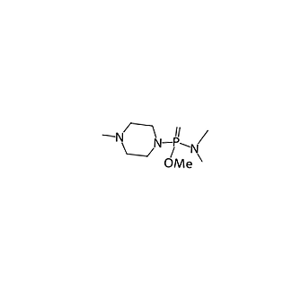 C=P(OC)(N(C)C)N1CCN(C)CC1